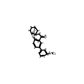 [C-]#[N+]c1cccc(-c2ccc3c(c2)C(=O)CC2(CC4CCC2OC4)O3)c1